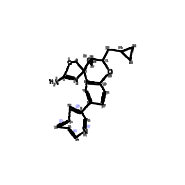 NC1=NC2(CO1)c1cc(C3=C/C=C/C=C/N=C\3)ccc1OC(CC1CC1)C21COC1